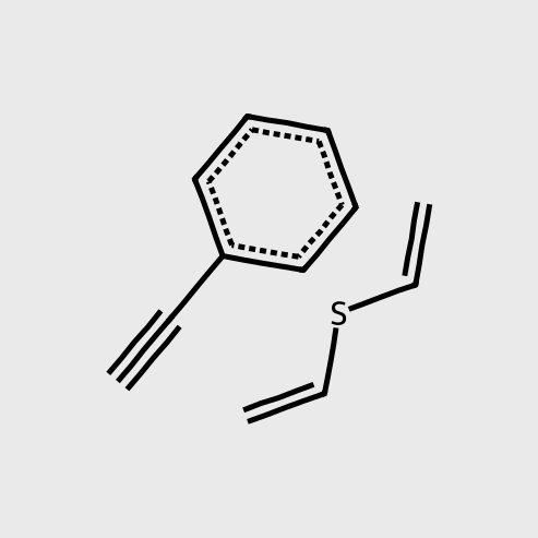 C#Cc1ccccc1.C=CSC=C